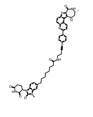 C[C@@H]1CNc2c(sc3ccc4nc(-c5ccc(C#CCCNC(=O)CCCCCCCc6ccc7c(c6)n(C)c(=O)n7C6CCC(=O)NC6=O)cc5)ccc4c23)C(=O)N1